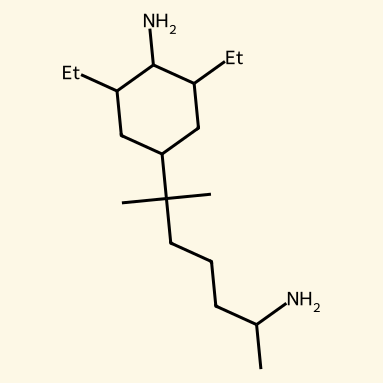 CCC1CC(C(C)(C)CCCC(C)N)CC(CC)C1N